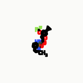 Cc1ccc2cccc([S+]([O-])NC(=O)c3cc4c(OC(F)F)cc(C5CC5)cc4o3)c2n1